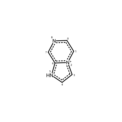 c1c[n+]2cc[nH]c2cn1